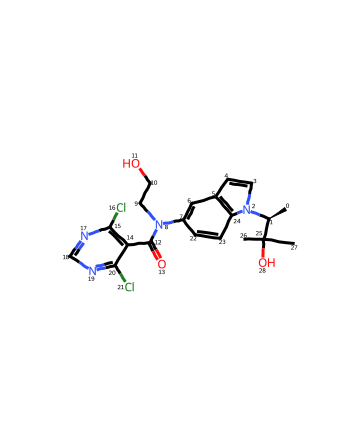 C[C@H](n1ccc2cc(N(CCO)C(=O)c3c(Cl)ncnc3Cl)ccc21)C(C)(C)O